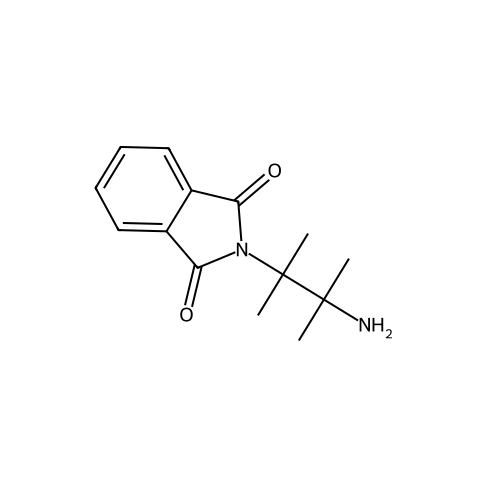 CC(C)(N)C(C)(C)N1C(=O)c2ccccc2C1=O